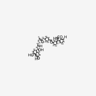 CN(CCCNC[C@H](O)c1ccc(O)c2[nH]c(=O)ccc12)C(=O)Cc1ccc(COc2cccc([C@@H](NC(=O)O)c3ccccc3)c2)cc1